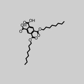 CCCCCCCCOC(=O)c1cc(C(=O)O)c(C(=O)O)cc1C(=O)OCCCCCCCC